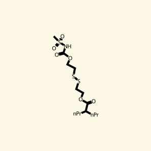 CCCC(CCC)C(=O)OCCSSCCOC(=O)NS(C)(=O)=O